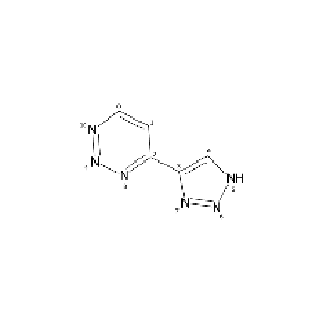 c1cc(-c2c[nH]nn2)nnn1